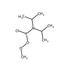 COOP(Cl)N(C(C)C)C(C)C